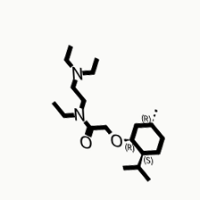 CCN(CC)CCN(CC)C(=O)CO[C@@H]1C[C@H](C)CC[C@H]1C(C)C